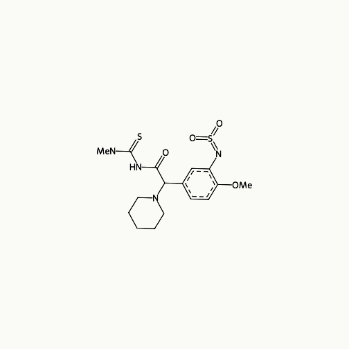 CNC(=S)NC(=O)C(c1ccc(OC)c(N=S(=O)=O)c1)N1CCCCC1